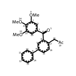 COc1cc(C(=O)c2cc(-c3ccccc3)ccc2CC(C)=O)cc(OC)c1OC